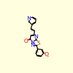 COc1cccc(-c2nn3c(=O)cc(/C=C/c4cccnc4)nc3s2)c1